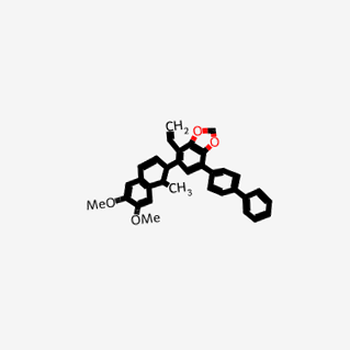 C=Cc1c(C2C=Cc3cc(OC)c(OC)cc3C2C)cc(-c2ccc(-c3ccccc3)cc2)c2c1OCO2